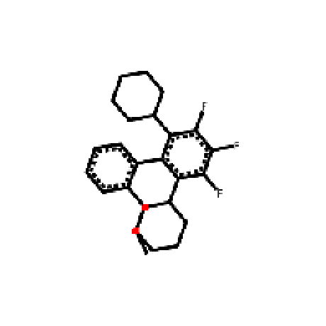 CCCc1ccccc1-c1c(C2CCCCC2)c(F)c(F)c(F)c1C1CCCCC1